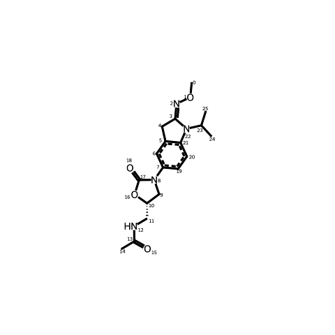 CON=C1Cc2cc(N3C[C@H](CNC(C)=O)OC3=O)ccc2N1C(C)C